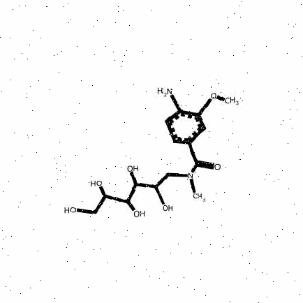 COc1cc(C(=O)N(C)CC(O)C(O)C(O)C(O)CO)ccc1N